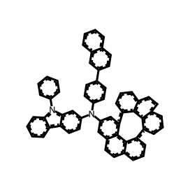 c1ccc(-n2c3ccccc3c3ccc(N(c4ccc(-c5ccc6ccccc6c5)cc4)c4cc5ccc6cccc7c8cccc9ccc%10cccc(c(c4)c5c67)c%10c98)cc32)cc1